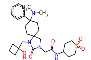 CN(C)C1(c2ccccc2)CCC2(CC1)CN(CC(=O)NC1CCS(=O)(=O)CC1)C(=O)N2CC1(O)CCC1